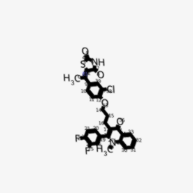 C/C(=C1\SC(=O)NC1=O)c1ccc(OCCCc2c(-c3ccc(F)c(F)c3)n(C)c3ccccc3c2=O)c(Cl)c1